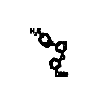 COc1cccc(Oc2cncc(N3CC4CC3CN(C)C4)c2)c1